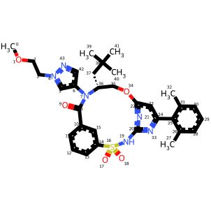 COCCn1cc(N2C(=O)c3cccc(c3)S(=O)(=O)Nc3nc(cc(-c4c(C)cccc4C)n3)OC[C@H]2CC(C)(C)C)cn1